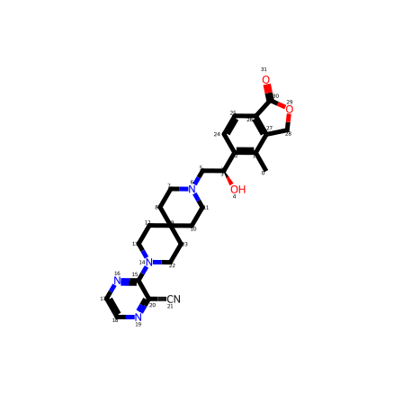 Cc1c([C@@H](O)CN2CCC3(CC2)CCN(c2nccnc2C#N)CC3)ccc2c1COC2=O